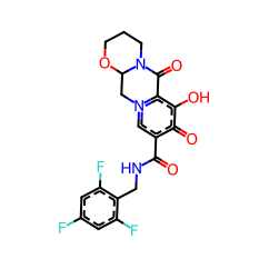 O=C(NCc1c(F)cc(F)cc1F)c1cn2c(c(O)c1=O)C(=O)N1CCCOC1C2